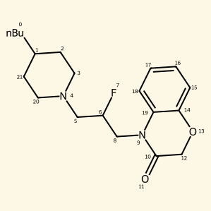 CCCCC1CCN(CC(F)CN2C(=O)COc3ccccc32)CC1